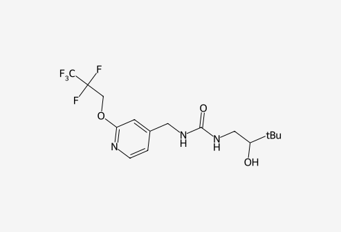 CC(C)(C)C(O)CNC(=O)NCc1ccnc(OCC(F)(F)C(F)(F)F)c1